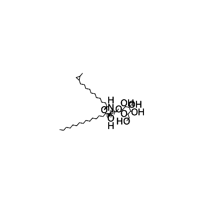 CCCCCCCCCCCCCCC[C@@H](O)[C@H](COC1OC(CO)C(O)C(O)C1O)NC(=O)CCCCCCCCCCC1CC1C